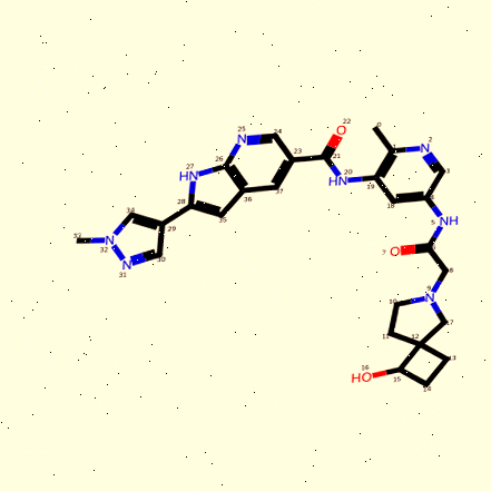 Cc1ncc(NC(=O)CN2CCC3(CCC3O)C2)cc1NC(=O)c1cnc2[nH]c(-c3cnn(C)c3)cc2c1